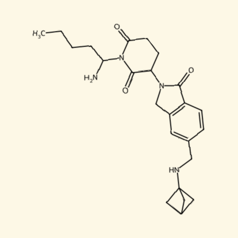 CCCCC(N)N1C(=O)CCC(N2Cc3cc(CNC45CC(C4)C5)ccc3C2=O)C1=O